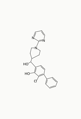 Oc1c(C(O)C2CCN(c3ncccn3)CC2)ccc(-c2ccccc2)c1Cl